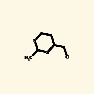 C[C]1SCCC(CCl)S1